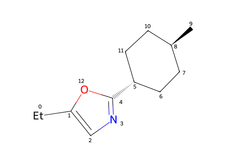 CCc1cnc([C@H]2CC[C@H](C)CC2)o1